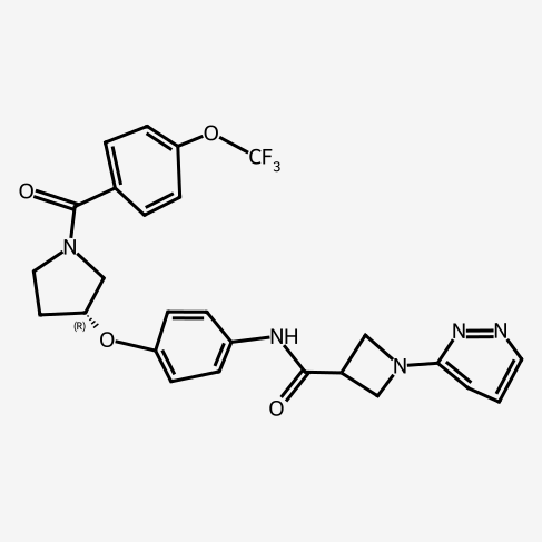 O=C(Nc1ccc(O[C@@H]2CCN(C(=O)c3ccc(OC(F)(F)F)cc3)C2)cc1)C1CN(c2cccnn2)C1